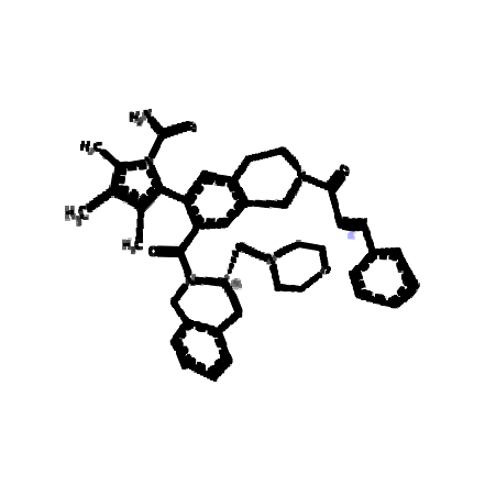 Cc1c(C)c(-c2cc3c(cc2C(=O)N2Cc4ccccc4C[C@H]2CN2CCOCC2)CN(C(=O)/C=C/c2ccccc2)CC3)n(C(N)=O)c1C